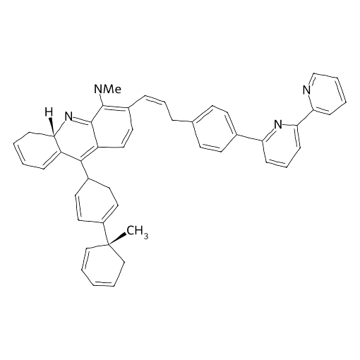 CNc1c(/C=C\Cc2ccc(-c3cccc(-c4ccccn4)n3)cc2)ccc2c1=N[C@H]1CC=CC=C1C=2C1C=CC([C@@]2(C)C=CC=CC2)=CC1